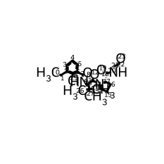 CCc1cccc(C(=O)N[C@H](C(=O)N2CCC[C@H]2C(=O)NCC=O)C(C)(C)C)c1Cl